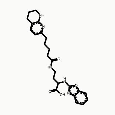 O=C(CCCCc1ccc2c(n1)NCCC2)NCCC(Nc1nc2ccccc2o1)C(=O)O